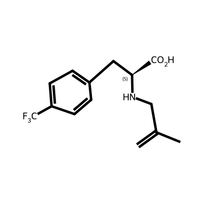 C=C(C)CN[C@@H](Cc1ccc(C(F)(F)F)cc1)C(=O)O